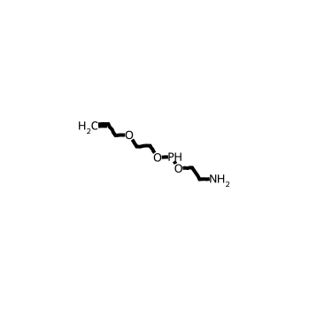 C=CCOCCOPOCCN